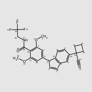 COc1cc(-n2cnc3cc(C4(C#N)CCC4)ccc32)cc(OC)c1C(=O)NCC(F)(F)F